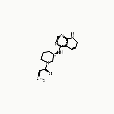 C=CC(=O)N1CCC[C@@H](Nc2ncnc3c2C=CCN3)C1